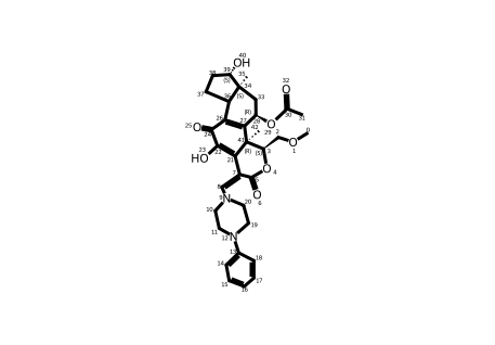 COC[C@H]1OC(=O)C(=CN2CCN(c3ccccc3)CC2)C2=C(O)C(=O)C3=C([C@H](OC(C)=O)C[C@@]4(C)C3CC[C@@H]4O)[C@]21C